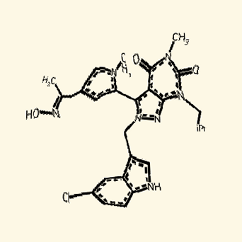 CC(=NO)c1cc(-c2c3c(=O)n(C)c(=O)n(CC(C)C)c3nn2Cc2c[nH]c3ccc(Cl)cc23)n(C)c1